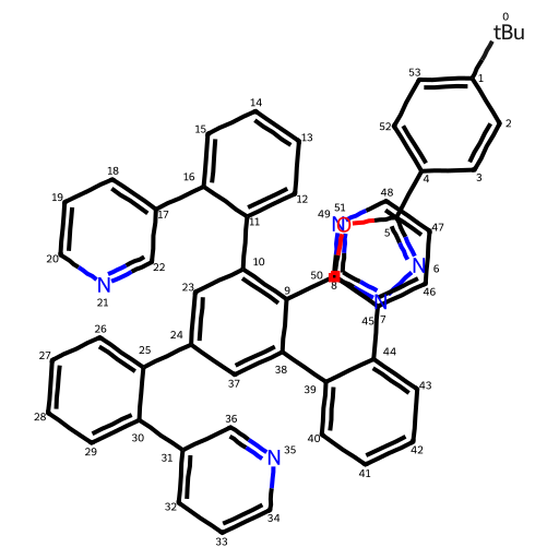 CC(C)(C)c1ccc(-c2nnc(-c3c(-c4ccccc4-c4cccnc4)cc(-c4ccccc4-c4cccnc4)cc3-c3ccccc3-c3cccnc3)o2)cc1